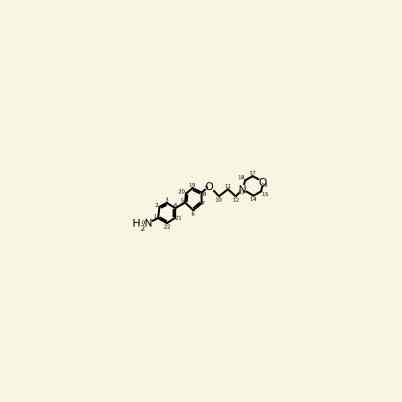 Nc1ccc(-c2ccc(OCCCN3CCOCC3)cc2)cc1